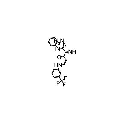 N=C(C(=O)/C=C\Nc1cccc(C(F)(F)F)c1)/C(=N/N)Nc1ccccc1